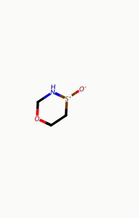 [O-][S+]1CCOCN1